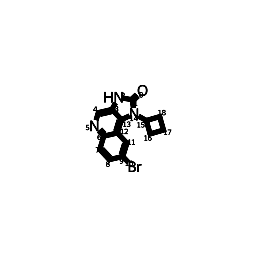 O=c1[nH]c2cnc3ccc(Br)cc3c2n1C1CCC1